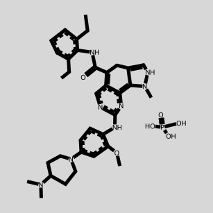 CCc1cccc(CC)c1NC(=O)C1=c2cnc(Nc3ccc(N4CCC(N(C)C)CC4)cc3OC)nc2=C2C(=CNN2C)C1.O=P(O)(O)O